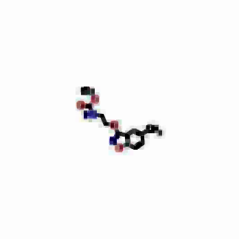 Cc1ccc2onc(OCCNC(=O)OC(C)(C)C)c2c1